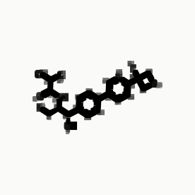 O=C(N[C@H](CF)[C@@H](O)c1ccc(-c2ccc(C3(F)COC3)nc2)cc1)C(Cl)Cl